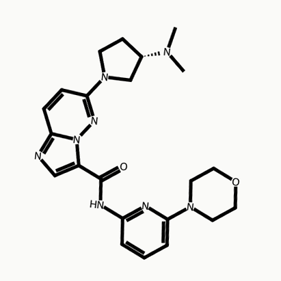 CN(C)[C@H]1CCN(c2ccc3ncc(C(=O)Nc4cccc(N5CCOCC5)n4)n3n2)C1